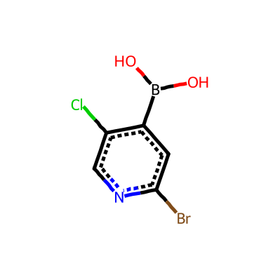 OB(O)c1cc(Br)ncc1Cl